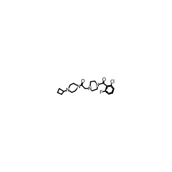 O=C(CN1CCN(C(=O)c2c(F)cccc2Cl)CC1)N1CCN(C2CCC2)CC1